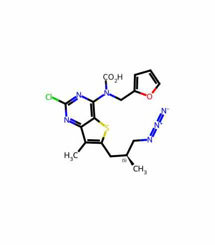 Cc1c(C[C@H](C)CN=[N+]=[N-])sc2c(N(Cc3ccco3)C(=O)O)nc(Cl)nc12